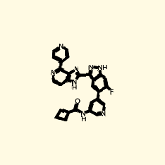 O=C(Nc1cncc(-c2cc3c(-c4nc5c(-c6ccncc6)nccc5[nH]4)n[nH]c3cc2F)c1)C1CCC1